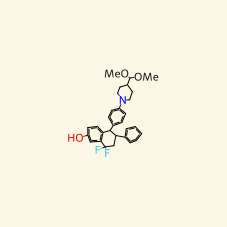 COC(OC)C1CCN(c2ccc(C3c4ccc(O)cc4C(F)(F)CC3c3ccccc3)cc2)CC1